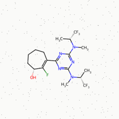 C[C@@H](N(C)c1nc(C2=C(F)[C@H](O)CCCC2)nc(N(C)[C@H](C)C(F)(F)F)n1)C(F)(F)F